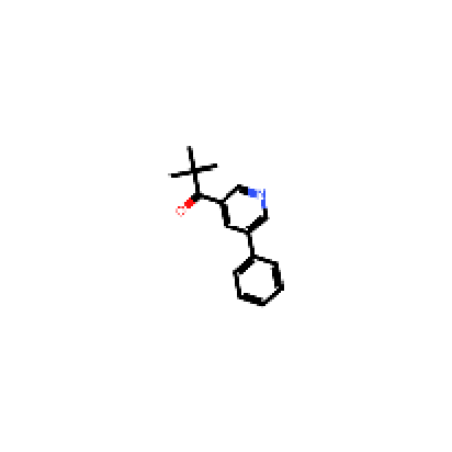 CC(C)(C)C(=O)c1cncc(-c2ccccc2)c1